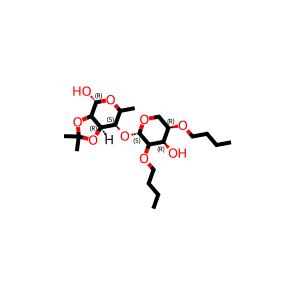 CCCCOC1[C@H](O[C@H]2C(C)O[C@@H](O)C3OC(C)(C)O[C@@H]32)OC[C@@H](OCCCC)[C@H]1O